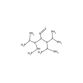 PPP(P(P)P)P(N=S)P(P(P)P)P(P)P